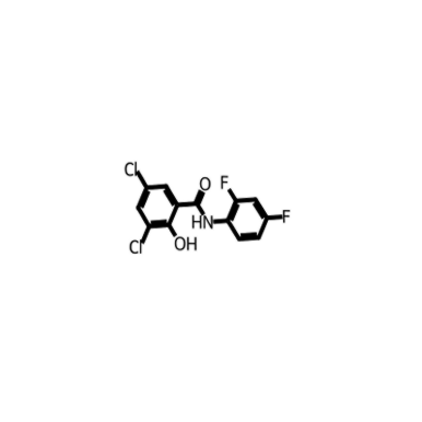 O=C(Nc1ccc(F)cc1F)c1cc(Cl)cc(Cl)c1O